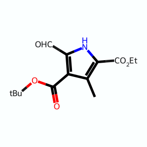 CCOC(=O)c1[nH]c(C=O)c(C(=O)OC(C)(C)C)c1C